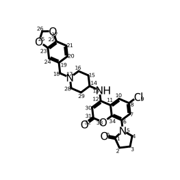 O=C1CCCN1c1cc(Cl)cc2c(NC3CCN(Cc4ccc5c(c4)OCO5)CC3)cc(=O)oc12